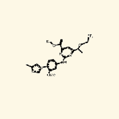 C=C(OCC)c1cc(C(C)OCC(F)(F)F)nc(Nc2ccc(-n3cnc(C)c3)c(OC)c2)n1